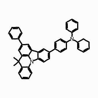 CC1(C)c2ccccc2-n2c3ccc(-c4ccc(N(C5=CC=CCC5)c5ccccc5)cc4)cc3c3cc(-c4ccccc4)cc1c32